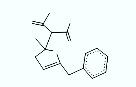 CCC(=O)C(C(=O)CC)C1(C)CC=C(Cc2ccccc2)O1